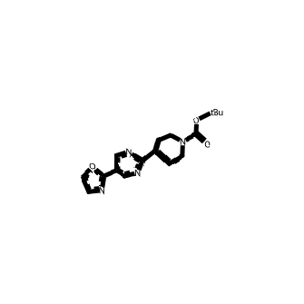 CC(C)(C)OC(=O)N1CC=C(c2ncc(-c3ncco3)cn2)CC1